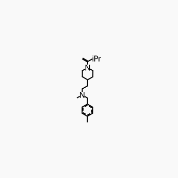 C=C(C(C)C)N1CCC(CCN(C)Cc2ccc(C)cc2)CC1